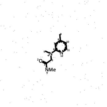 CNC(=O)CN(C)c1cc(C)ccn1